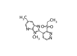 CCS(=O)(=O)c1nnccc1-c1nc2cc(C)cnc2n1C